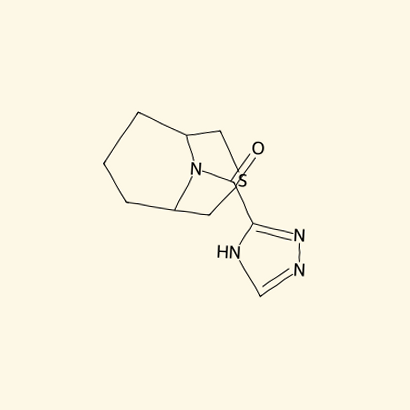 O=C(c1nnc[nH]1)N1C2CCCC1CSC2